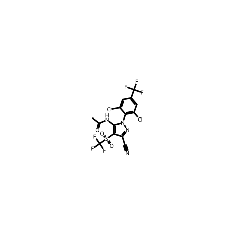 CC(=O)Nc1c(S(=O)(=O)C(F)(F)F)c(C#N)nn1-c1c(Cl)cc(C(F)(F)F)cc1Cl